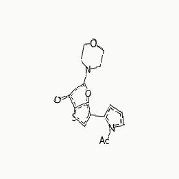 CC(=O)n1cccc1-c1csc2c(=O)cc(N3CCOCC3)oc12